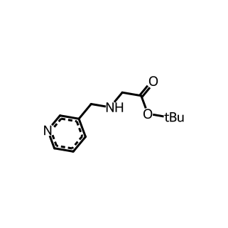 CC(C)(C)OC(=O)CNCc1cccnc1